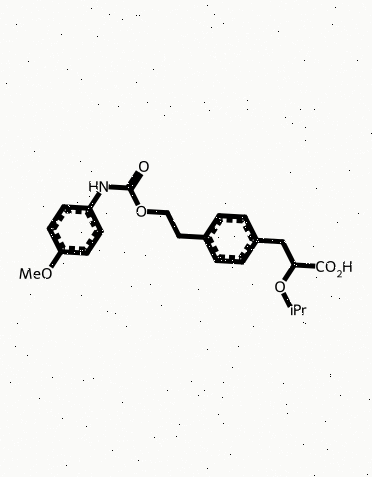 COc1ccc(NC(=O)OCCc2ccc(CC(OC(C)C)C(=O)O)cc2)cc1